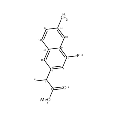 COC(=O)C(C)c1cc(F)c2cc(C(F)(F)F)ccc2c1